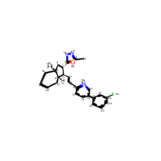 Cc1nnc([C@H]2C[C@H]3CCCC[C@H]3[C@@H]2/C=C/c2ccc(-c3cccc(F)c3)cn2)o1